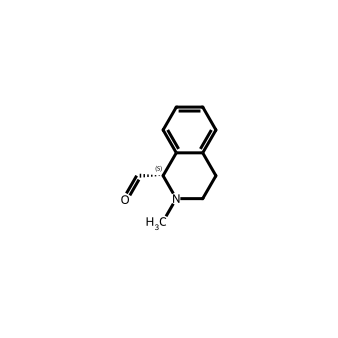 CN1CCc2ccccc2[C@H]1C=O